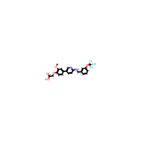 COc1cc(-c2ccc(NCc3cccc(OC(F)(F)F)c3)nc2)ccc1OCC(=O)O